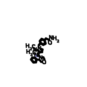 C=Nc1c(/C(=N\C)N2CCOCC2c2ccccc2)ccn1Cc1ccc(CC(N)=O)cc1